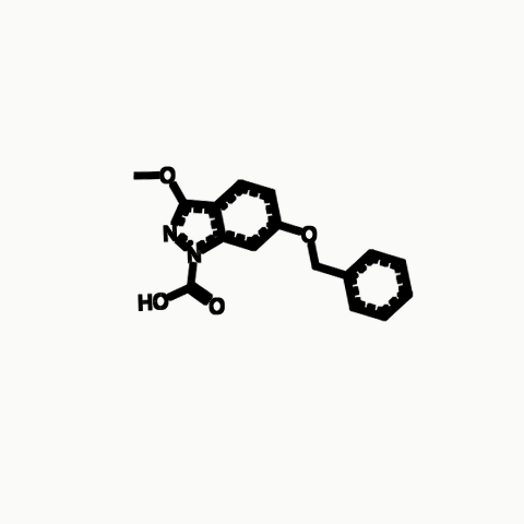 COc1nn(C(=O)O)c2cc(OCc3ccccc3)ccc12